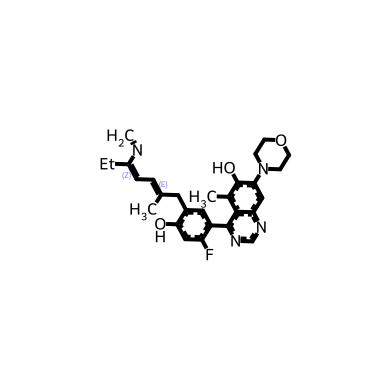 C=N/C(=C\C=C(/C)Cc1cc(-c2ncnc3cc(N4CCOCC4)c(O)c(C)c23)c(F)cc1O)CC